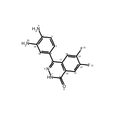 Nc1ccc(-c2n[nH]c(=O)c3cc(F)c(F)cc23)cc1N